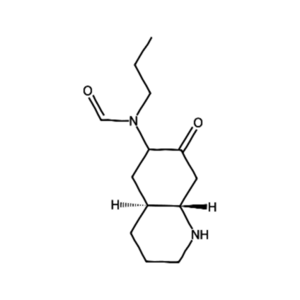 CCCN(C=O)C1C[C@@H]2CCCN[C@H]2CC1=O